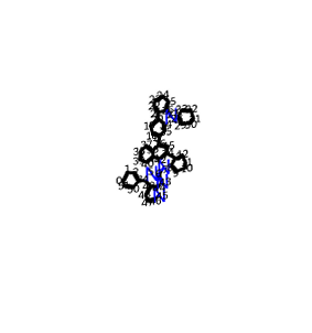 c1ccc(-c2nc(-n3c4ccccc4c4cc(-c5ccc6c7ccccc7n(-c7ccccc7)c6c5)c5ccccc5c43)nc3ncccc23)cc1